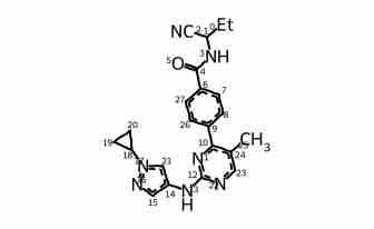 CCC(C#N)NC(=O)c1ccc(-c2nc(Nc3cnn(C4CC4)c3)ncc2C)cc1